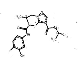 C[C@H]1Cn2nnc(C(=O)N[C@H](C)C(F)(F)F)c2CN1C(=O)Nc1ccc(F)c(C#N)c1